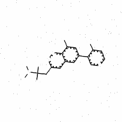 CCc1ccncc1-c1cc(Cl)c2nnc(CC(C)(C)N(C(=O)O)C(C)C)cc2c1